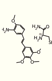 COc1ccc(C=Cc2cc(OC)c(OC)c(OC)c2)cc1N.NC(=O)[C@H](N)CS